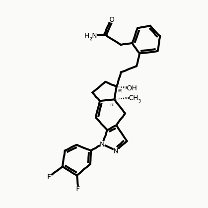 C[C@]12Cc3cnn(-c4ccc(F)c(F)c4)c3C=C1CC[C@@]2(O)CCc1ccccc1CC(N)=O